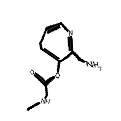 CNC(=O)Oc1cccnc1N